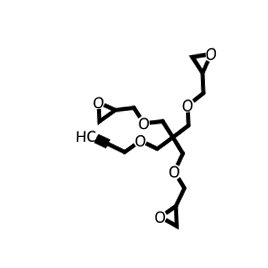 C#CCOCC(COCC1CO1)(COCC1CO1)COCC1CO1